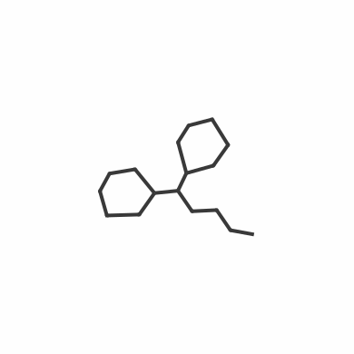 CCCC[C](C1CCCCC1)C1CCCCC1